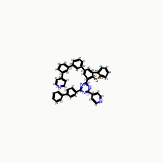 c1ccc(-c2ccc(-c3nc(-c4ccncc4)nc(-c4cc(-c5cccc(-c6cccc(-c7ccncc7)c6)c5)cc5c4sc4ccccc45)n3)cc2)cc1